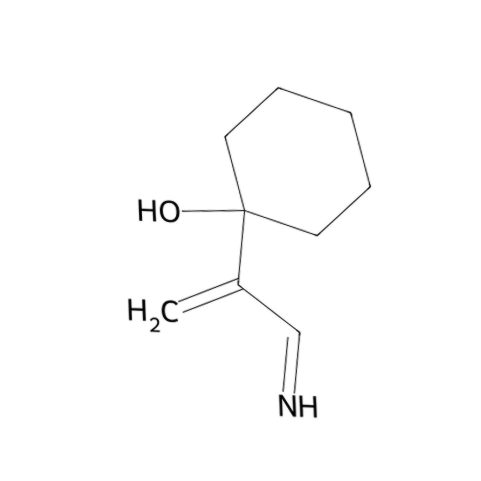 C=C(C=N)C1(O)CCCCC1